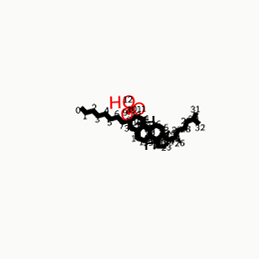 CCCCCCCCC1(OC(=O)O)CC[C@@]2(C)C(=CC[C@H]3[C@@H]4CC[C@H]([C@H](C)CCCC(C)C)[C@@]4(C)CC[C@@H]32)C1